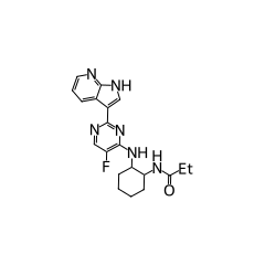 CCC(=O)NC1CCCCC1Nc1nc(-c2c[nH]c3ncccc23)ncc1F